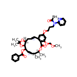 BC(=O)N(CCCOc1cc2c(c(OCOC)c1)C(=O)O[C@@H](C)[C@H](C)/C=C\C(OC(=O)c1ccccc1)C1OC(C)(C)O[C@H]1C/C=C/2)c1ccccn1